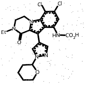 CCN1CCn2c(c(-c3cnn(C4CCCCO4)c3)c3c(NC(=O)O)cc(Cl)c(Cl)c32)C1=O